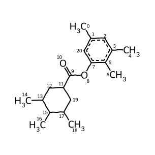 Cc1cc(C)c(C)c(OC(=O)C2CC(C)C(C)C(C)C2)c1